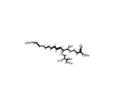 CCCCCC=CCC=CC=CC=C[C@H](SC[C@H](N)C(=O)OC)[C@@H](O)CCCC(=O)OC